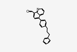 O=Cc1ccc(-c2ccc(CCCc3ccccc3)cc2)c2cccnc12